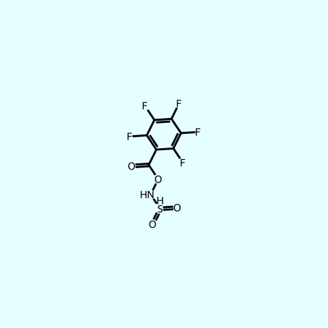 O=C(ON[SH](=O)=O)c1c(F)c(F)c(F)c(F)c1F